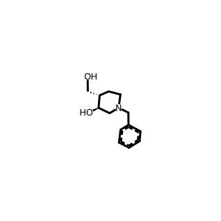 OC[C@@H]1CCN(Cc2ccccc2)C[C@H]1O